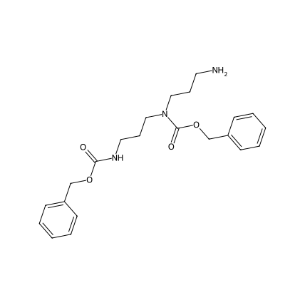 NCCCN(CCCNC(=O)OCc1ccccc1)C(=O)OCc1ccccc1